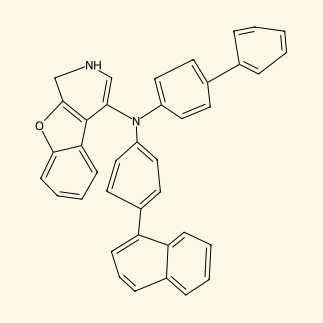 C1=C(N(c2ccc(-c3ccccc3)cc2)c2ccc(-c3cccc4ccccc34)cc2)c2c(oc3ccccc23)CN1